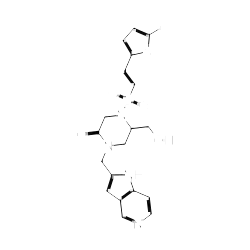 O=C1CN(S(=O)(=O)C=Cc2ccc(Cl)s2)C(CO)CN1Cc1cc2cnccc2[nH]1